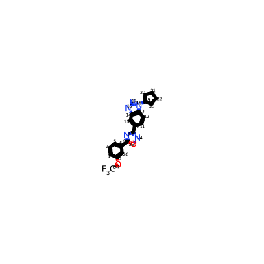 FC(F)(F)Oc1cccc(-c2nc(-c3ccc4c(c3)nnn4C3CCCC3)no2)c1